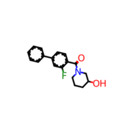 O=C(c1ccc(-c2ccccc2)cc1F)N1CCCC(O)C1